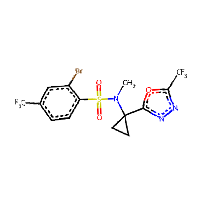 CN(C1(c2nnc(C(F)(F)F)o2)CC1)S(=O)(=O)c1ccc(C(F)(F)F)cc1Br